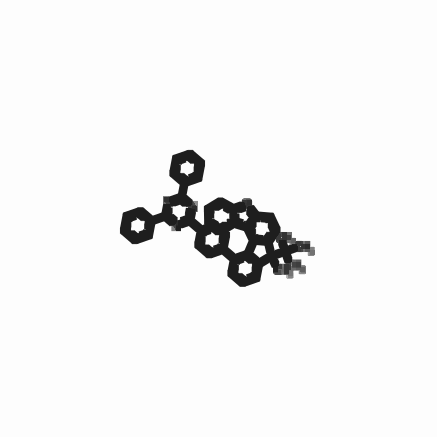 CC(C)(C)C1(C)c2cccc(-c3ccc(-c4nc(-c5ccccc5)nc(-c5ccccc5)n4)cc3)c2-c2c1ccc1oc3ccccc3c21